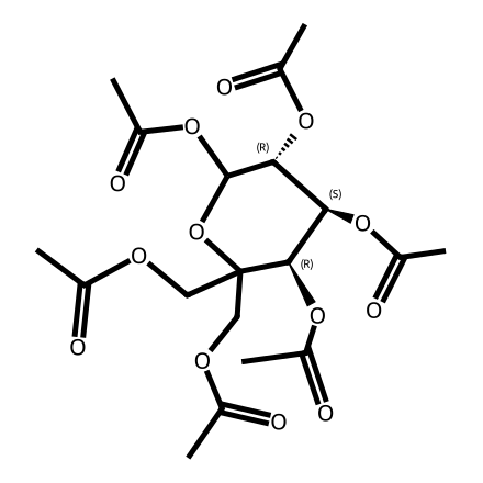 CC(=O)OCC1(COC(C)=O)OC(OC(C)=O)[C@H](OC(C)=O)[C@@H](OC(C)=O)[C@H]1OC(C)=O